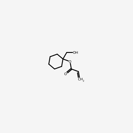 C=CC(=O)OC1(CO)CCCCC1